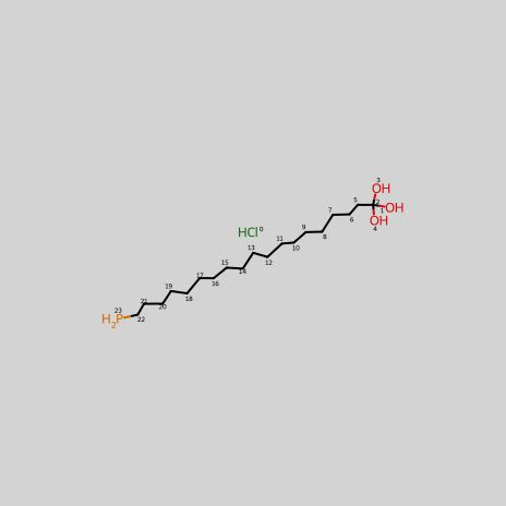 Cl.OC(O)(O)CCCCCCCCCCCCCCCCCCP